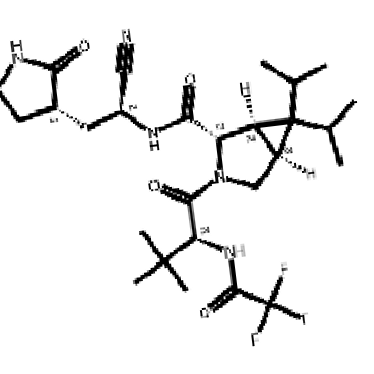 CC(C)C1(C(C)C)[C@@H]2[C@@H](C(=O)N[C@H](C#N)C[C@@H]3CCNC3=O)N(C(=O)[C@@H](NC(=O)C(F)(F)F)C(C)(C)C)C[C@@H]21